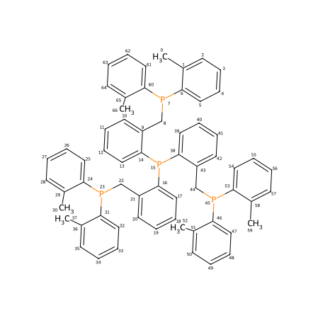 Cc1ccccc1P(Cc1ccccc1P(c1ccccc1CP(c1ccccc1C)c1ccccc1C)c1ccccc1CP(c1ccccc1C)c1ccccc1C)c1ccccc1C